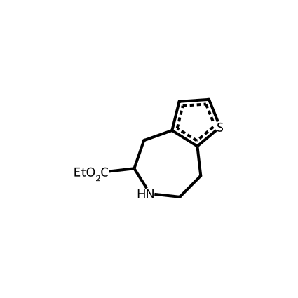 CCOC(=O)C1Cc2ccsc2CCN1